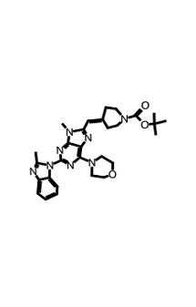 Cc1nc2ccccc2n1-c1nc(N2CCOCC2)c2nc(C=C3CCN(C(=O)OC(C)(C)C)CC3)n(C)c2n1